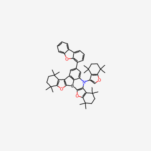 CC1(C)CCC(C)(C)c2c(N3c4cc(-c5cccc6c5oc5ccccc56)cc5c4B(c4oc6c(c4-5)C(C)(C)CCC6(C)C)c4oc5c(c43)C(C)(C)CCC5(C)C)coc21